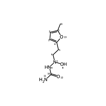 Cc1ccc(CCN(O)NC(N)=O)o1